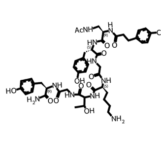 CC(=O)NC[C@@H](NC(=O)CCc1ccc(Cl)cc1)C(=O)N[C@@H](Cc1ccc(O)cc1)C(=O)NCC(=O)N[C@@H](CCCCN)C(=O)NC(C(=O)NCC(=O)N[C@H](Cc1ccc(O)cc1)C(N)=O)C(C)O